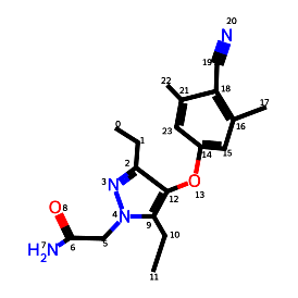 CCc1nn(CC(N)=O)c(CC)c1Oc1cc(C)c(C#N)c(C)c1